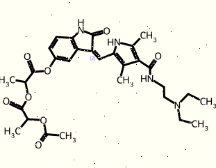 CCN(CC)CCNC(=O)c1c(C)[nH]c(/C=C2\C(=O)Nc3ccc(OC(=O)C(C)OC(=O)C(C)OC(C)=O)cc32)c1C